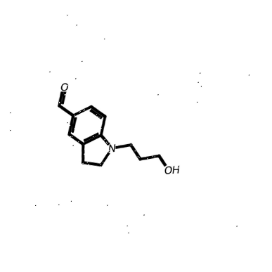 O=Cc1ccc2c(c1)CCN2CCCO